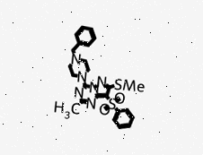 CSc1nn2c(N3CCN(Cc4ccccc4)CC3)nc(C)nc2c1S(=O)(=O)c1ccccc1